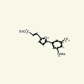 CCOC(=O)/C=C/c1ccc(-c2cc(OC)cc(C(F)(F)F)c2)o1